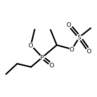 CCCP(=O)(OC)C(C)OS(C)(=O)=O